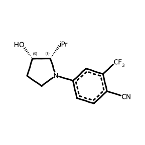 CC(C)[C@H]1[C@@H](O)CCN1c1ccc(C#N)c(C(F)(F)F)c1